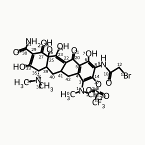 CN(C)c1c2c(c(O)c(NC(=O)CBr)c1OS(=O)(=O)C(F)(F)F)C(=O)C1=C(O)C3(O)C(=O)C(C(N)=O)=C(O)[C@@H](N(C)C)C3CC1C2